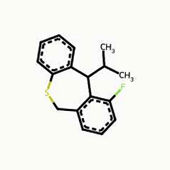 CC(C)C1c2ccccc2SCc2cccc(F)c21